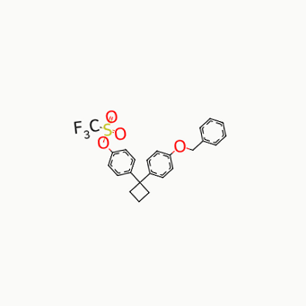 O=S(=O)(Oc1ccc(C2(c3ccc(OCc4ccccc4)cc3)CCC2)cc1)C(F)(F)F